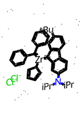 CC(C)N(c1ccc2c(c1)[CH]([Zr+2](=[C](c1ccccc1)c1ccccc1)[CH]1C=CC=C1)c1cc(C(C)(C)C)ccc1-2)C(C)C.[Cl-].[Cl-]